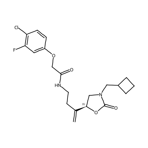 C=C(CCNC(=O)COc1ccc(Cl)c(F)c1)[C@H]1CN(CC2CCC2)C(=O)O1